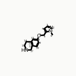 Cn1nccc1COc1ccc2c(c1)CCNC2